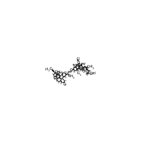 CC#C[C@@]1(O)CC[C@H]2[C@@H]3CCC4=CC(=O)CCC4=C3[C@@H](c3ccc(N(C)CCO[C@H]4CC[C@@]5(C)[C@@H](C4)C[C@@H](OCCl)[C@@H]4[C@@H]5C[C@H](O)[C@]5(C)[C@@H]([C@H](C)CCC(=O)O)CC[C@@H]45)cc3)C[C@@]21C